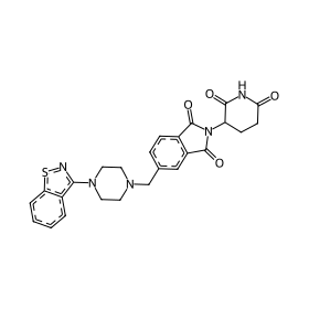 O=C1CCC(N2C(=O)c3ccc(CN4CCN(c5nsc6ccccc56)CC4)cc3C2=O)C(=O)N1